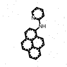 c1ccc(Nc2ccc3ccc4cccc5ccc2c3c45)nc1